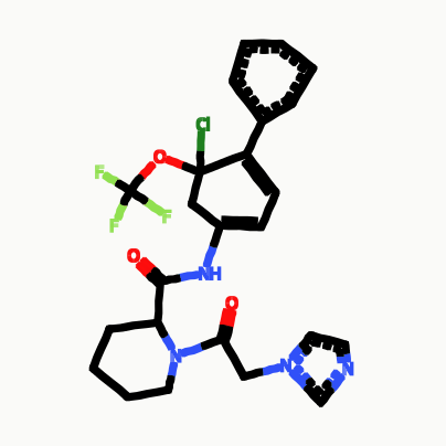 O=C(NC1=CC=C(c2ccccc2)C(Cl)(OC(F)(F)F)C1)C1CCCCN1C(=O)Cn1ccnc1